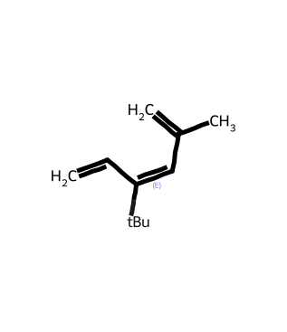 C=C/C(=C\C(=C)C)C(C)(C)C